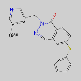 COc1cncc(Cn2ncc3cc(Sc4ccccc4)ccc3c2=O)c1